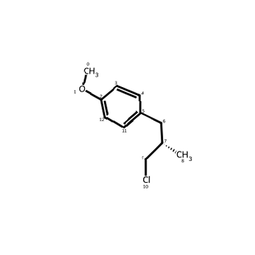 COc1ccc(C[C@H](C)CCl)cc1